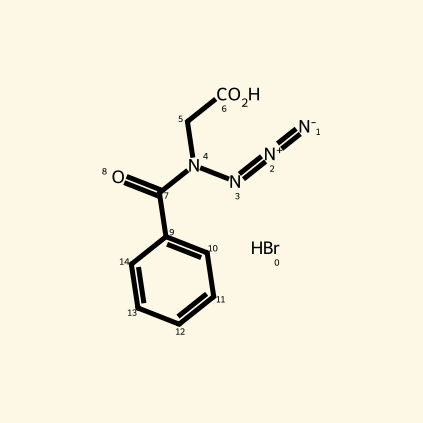 Br.[N-]=[N+]=NN(CC(=O)O)C(=O)c1ccccc1